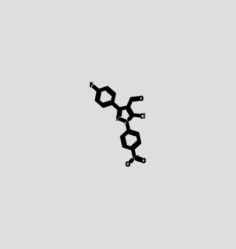 O=Cc1c(-c2ccc(F)cc2)nn(-c2ccc([N+](=O)[O-])cc2)c1Cl